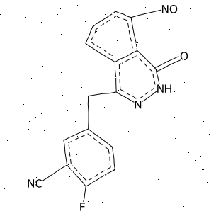 N#Cc1cc(Cc2n[nH]c(=O)c3c(N=O)cccc23)ccc1F